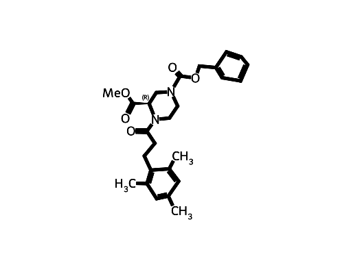 COC(=O)[C@H]1CN(C(=O)OCc2ccccc2)CCN1C(=O)CCc1c(C)cc(C)cc1C